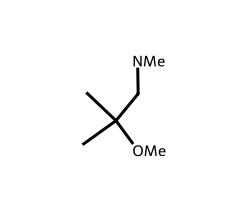 [CH2]NCC(C)(C)OC